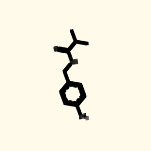 CC(C)C(=O)NCc1ccc(P)cc1